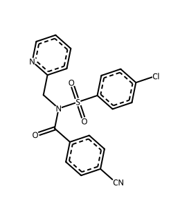 N#Cc1ccc(C(=O)N(Cc2ccccn2)S(=O)(=O)c2ccc(Cl)cc2)cc1